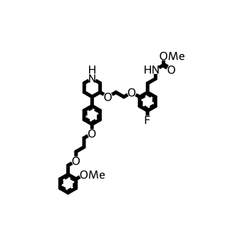 COC(=O)NCCc1ccc(F)cc1OCCOC1CNCCC1c1ccc(OCCCOCc2ccccc2OC)cc1